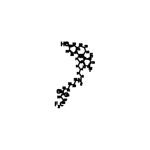 CN(CCCCCCC1=C(c2ccc(F)cc2F)CCCc2cc(O)ccc21)CCCCCS(=O)(=O)CCC(F)(F)F